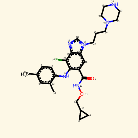 Bc1ccc(Nc2c(C(=O)NOCC3CC3)cc3c(ncn3CCCN3CCNCC3)c2F)c(C)c1